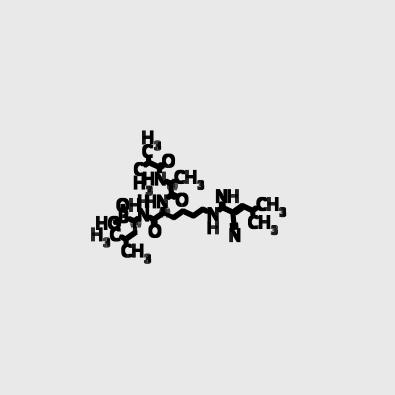 CC(C)C=C(C#N)C(=N)NCCCC[C@H](NC(=O)[C@H](C)NC(=O)C(C)C)C(=O)N[C@@H](CC(C)C)B(O)O